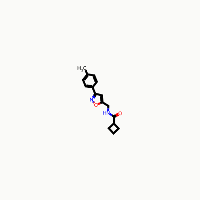 Cc1ccc(-c2cc(CNC(=O)C3CCC3)on2)cc1